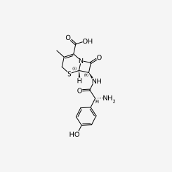 CC1=C(C(=O)O)N2C(=O)[C@@H](NC(=O)[C@H](N)c3ccc(O)cc3)[C@@H]2SC1